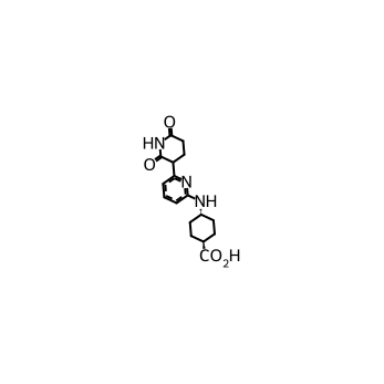 O=C1CCC(c2cccc(N[C@H]3CC[C@H](C(=O)O)CC3)n2)C(=O)N1